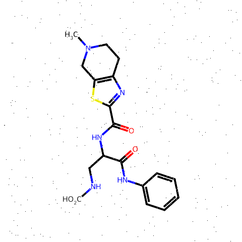 CN1CCc2nc(C(=O)NC(CNC(=O)O)C(=O)Nc3ccccc3)sc2C1